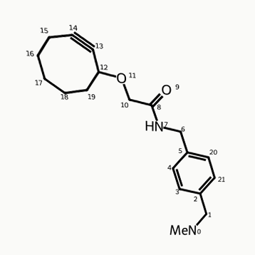 CNCc1ccc(CNC(=O)COC2C#CCCCCC2)cc1